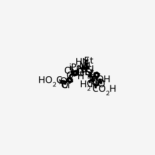 CCNc1nc(Cl)nc(NC(C)C)n1.CCc1cccc(C)c1N(C(=O)CCl)C(C)COC.CP(=O)(O)CCC(N)C(=O)O.C[C@H](OC(=O)c1cc(Oc2ccc(C(F)(F)F)cc2Cl)ccc1Cl)C(=O)O